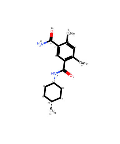 COc1cc(OC)c(C(=O)N[C@H]2CC[C@@H](C)CC2)cc1C(N)=O